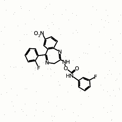 O=C(Nc1cccc(F)c1)ONC1=Nc2ccc([N+](=O)[O-])cc2C(c2ccccc2F)=NC1